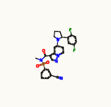 CN(C(=O)c1cnn2ccc(N3CCCC3c3cc(F)ccc3F)cc12)S(=O)(=O)c1cccc(C#N)c1